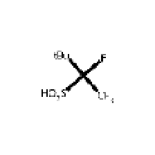 CC(C)(C)C(F)(C(F)(F)F)S(=O)(=O)O